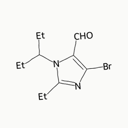 CCc1nc(Br)c(C=O)n1C(CC)CC